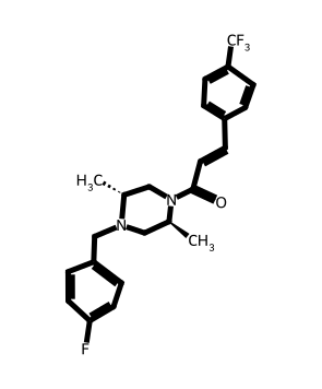 C[C@@H]1CN(C(=O)C=Cc2ccc(C(F)(F)F)cc2)[C@@H](C)CN1Cc1ccc(F)cc1